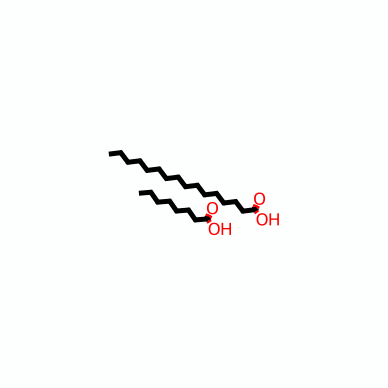 CCCCCCCC(=O)O.CCCCCCCCCCCCCCCC(=O)O